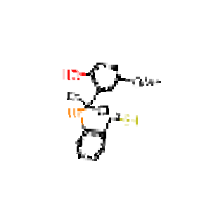 CCC(C)(Pc1ccccc1CS)c1cc(OC)ccc1O